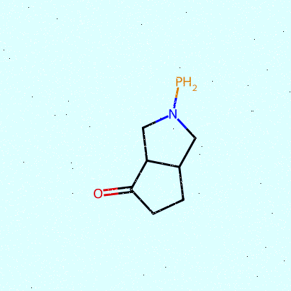 O=C1CCC2CN(P)CC12